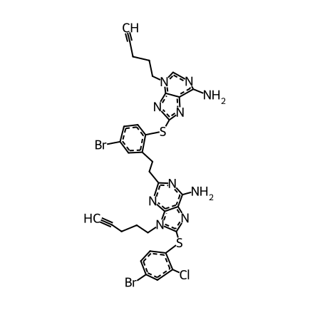 C#CCCCn1cnc(N)c2nc(Sc3ccc(Br)cc3CCc3nc(N)c4nc(Sc5ccc(Br)cc5Cl)n(CCCC#C)c4n3)nc1-2